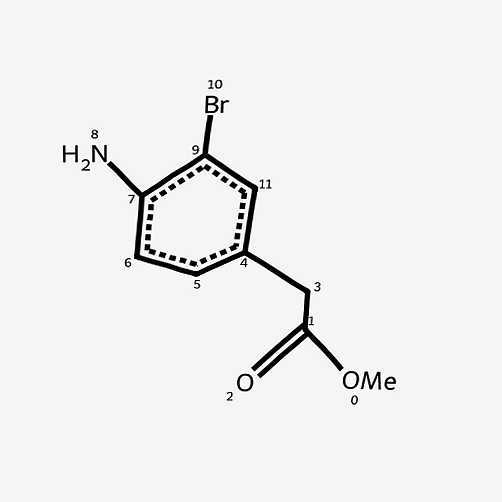 COC(=O)Cc1ccc(N)c(Br)c1